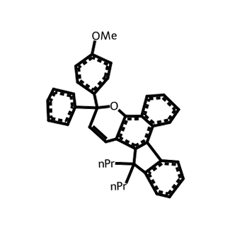 CCCC1(CCC)c2ccccc2-c2c1c1c(c3ccccc23)OC(c2ccccc2)(c2ccc(OC)cc2)C=C1